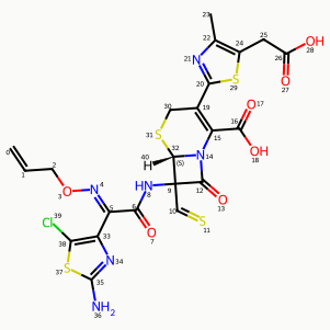 C=CCON=C(C(=O)NC1(C=S)C(=O)N2C(C(=O)O)=C(c3nc(C)c(CC(=O)O)s3)CS[C@H]21)c1nc(N)sc1Cl